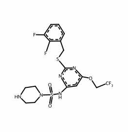 O=S(=O)(Nc1cc(OCC(F)(F)F)nc(SCc2cccc(F)c2F)n1)N1CCNCC1